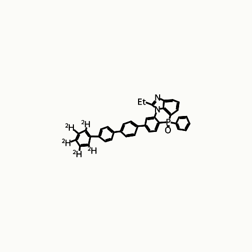 [2H]c1c([2H])c([2H])c(-c2ccc(-c3ccc(-c4ccc5c(c4)-n4c(CC)nc6cccc(c64)P5(=O)c4ccccc4)cc3)cc2)c([2H])c1[2H]